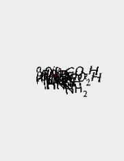 CC(C)C[C@H](NC(=O)[C@H](CC(=O)O)NC(=O)[C@H](CC(N)=O)NC(=O)[C@@H](NC(=O)[C@@H](NC(=O)[C@](C)(Cc1ccccc1)NC(=O)OCC1c2ccccc2-c2ccccc21)C(C)C)C(C)C)C(=O)O